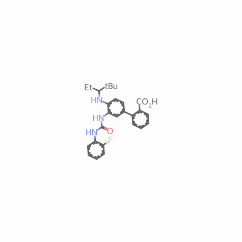 CCC(Nc1ccc(-c2ccccc2C(=O)O)cc1NC(=O)Nc1ccccc1F)C(C)(C)C